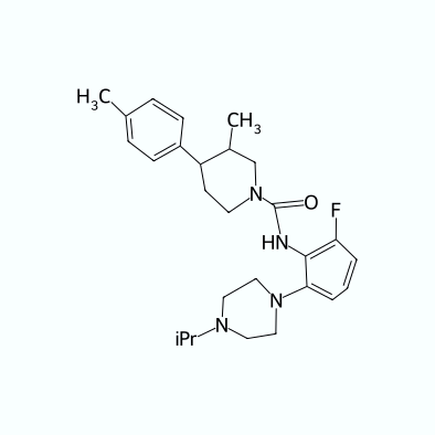 Cc1ccc(C2CCN(C(=O)Nc3c(F)cccc3N3CCN(C(C)C)CC3)CC2C)cc1